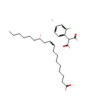 CCCCCC[C@@H](O)C/C=C\CCCCCCCC(=O)O.NF.O=C(O)C(C(=O)O)c1ccccc1Cl